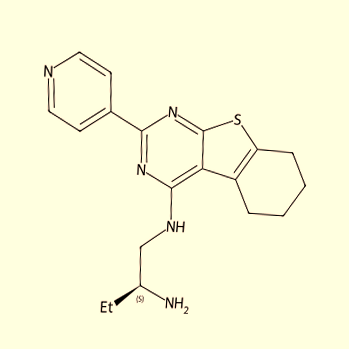 CC[C@H](N)CNc1nc(-c2ccncc2)nc2sc3c(c12)CCCC3